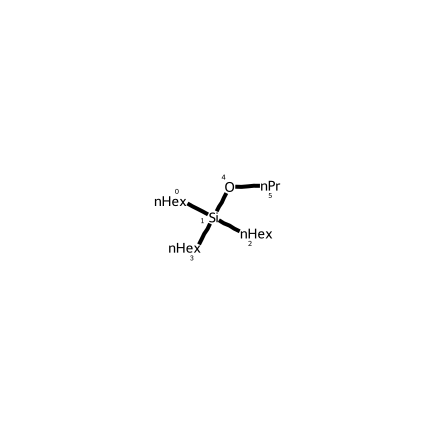 CCCCCC[Si](CCCCCC)(CCCCCC)OCCC